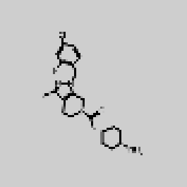 Cc1nn(Cc2ccc(Cl)cc2F)c2c1CCN(C(=O)C[C@H]1CC[C@H](N)CC1)C2